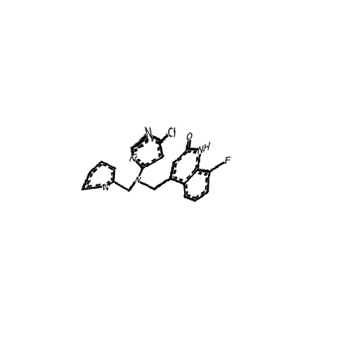 O=c1cc(CN(Cc2ccccn2)c2cc(Cl)ncn2)c2cccc(F)c2[nH]1